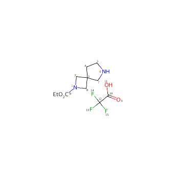 CCOC(=O)N1CC2(CCNC2)C1.O=C(O)C(F)(F)F